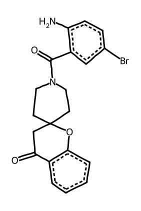 Nc1ccc(Br)cc1C(=O)N1CCC2(CC1)CC(=O)c1ccccc1O2